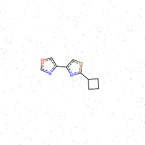 c1nc(-c2csc(C3CCC3)n2)co1